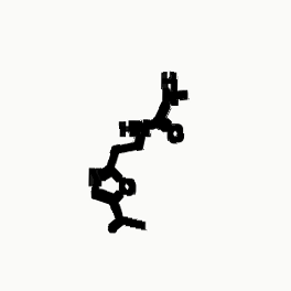 CNC(=O)NCCc1ncc(C(C)C)o1